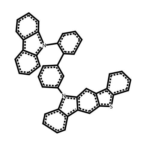 c1cc(-c2ccccc2-n2c3ccccc3c3ccccc32)cc(-n2c3ccccc3c3cc4sc5ccccc5c4cc32)c1